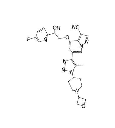 Cc1c(-c2cc(OCC(O)c3ccc(F)cn3)c3c(C#N)cnn3c2)nnn1C1CCN(C2COC2)CC1